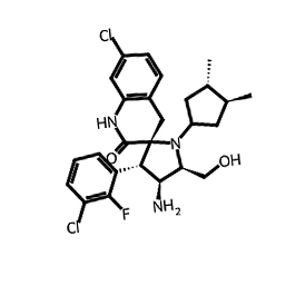 C[C@H]1CC(N2[C@@H](CO)[C@@H](N)[C@H](c3cccc(Cl)c3F)[C@@]23Cc2ccc(Cl)cc2NC3=O)C[C@@H]1C